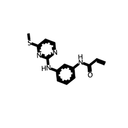 C=CC(=O)Nc1cccc(Nc2nccc(SC)n2)c1